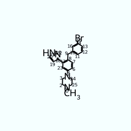 CN1CCN(c2ccc(Cc3cccc(Br)c3)c(-c3cc[nH]n3)c2)CC1